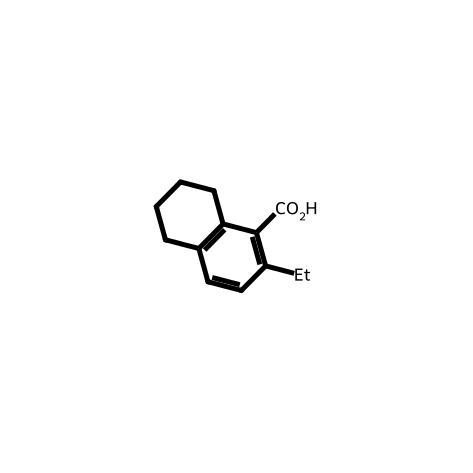 CCc1ccc2c(c1C(=O)O)CCCC2